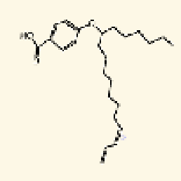 C=C/C=C\CCCCCCCC(CCCCCC)Oc1ccc(C(=O)O)cc1